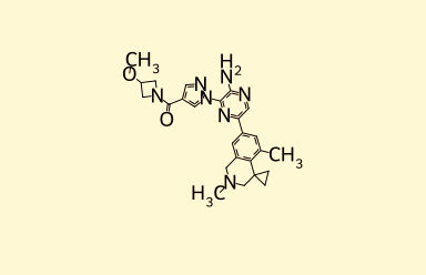 COC1CN(C(=O)c2cnn(-c3nc(-c4cc(C)c5c(c4)CN(C)CC54CC4)cnc3N)c2)C1